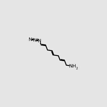 [N-]=[N+]=NC=CCC=CCC=CCN